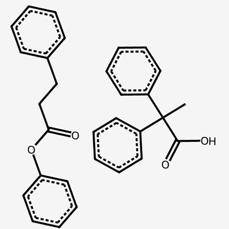 CC(C(=O)O)(c1ccccc1)c1ccccc1.O=C(CCc1ccccc1)Oc1ccccc1